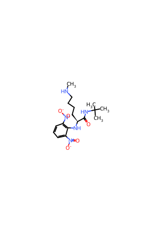 CNCCCC[C@H](Nc1c([N+](=O)[O-])cccc1[N+](=O)[O-])C(=O)NC(C)(C)C